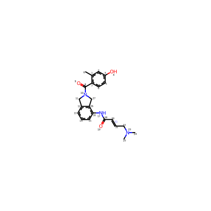 Cc1cc(O)ccc1C(=O)N1Cc2cccc(NC(=O)/C=C/CN(C)C)c2C1